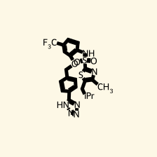 Cc1nc(S(=O)(=O)Nc2ccc(C(F)(F)F)cc2OCc2ccc(-c3nnn[nH]3)cc2)sc1CC(C)C